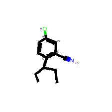 CCC(CC)c1ccc(Cl)cc1C#N